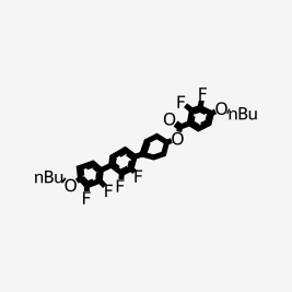 CCCCOc1ccc(C(=O)OC2CC=C(c3ccc(-c4ccc(OCCCC)c(F)c4F)c(F)c3F)CC2)c(F)c1F